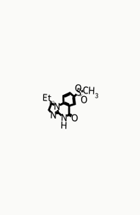 CC[C@H]1CN=C2NC(=O)c3cc(S(C)(=O)=O)ccc3N21